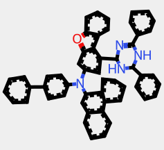 c1ccc(C2=NC(c3cc(N(c4ccc(-c5ccccc5)cc4)c4cc5ccccc5c5ccccc45)cc4oc5ccccc5c34)NC(c3ccccc3)N2)cc1